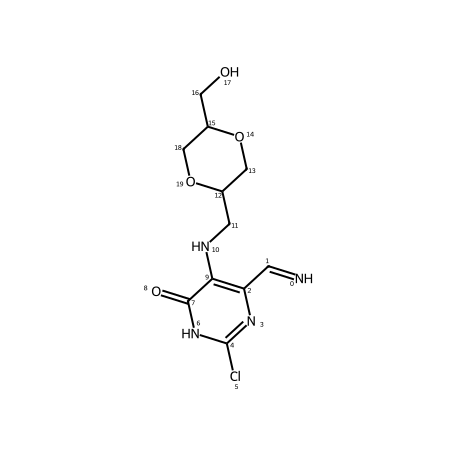 N=Cc1nc(Cl)[nH]c(=O)c1NCC1COC(CO)CO1